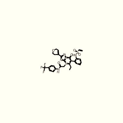 C=CS(=O)(=O)Nc1ccccc1-c1c(CC)n(CC(=O)Nc2ccc(C(F)(F)F)cc2)c2nc(C3=CCOCC3)nn2c1=O